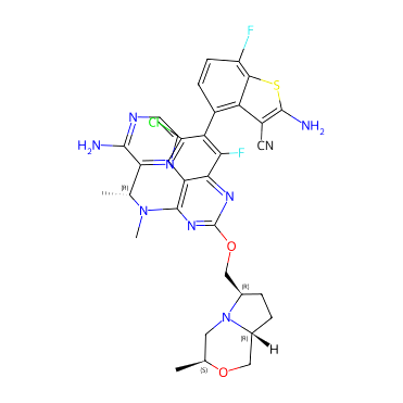 C[C@H](c1nccnc1N)N(C)c1nc(OC[C@H]2CC[C@@H]3CO[C@@H](C)CN23)nc2c(F)c(-c3ccc(F)c4sc(N)c(C#N)c34)c(Cl)cc12